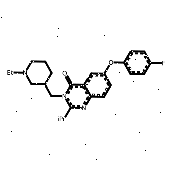 CCN1CCCC(Cn2c(C(C)C)nc3ccc(Oc4ccc(F)cc4)cc3c2=O)C1